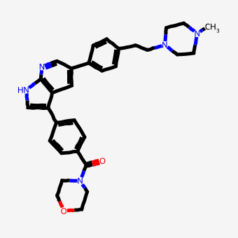 CN1CCN(CCc2ccc(-c3cnc4[nH]cc(-c5ccc(C(=O)N6CCOCC6)cc5)c4c3)cc2)CC1